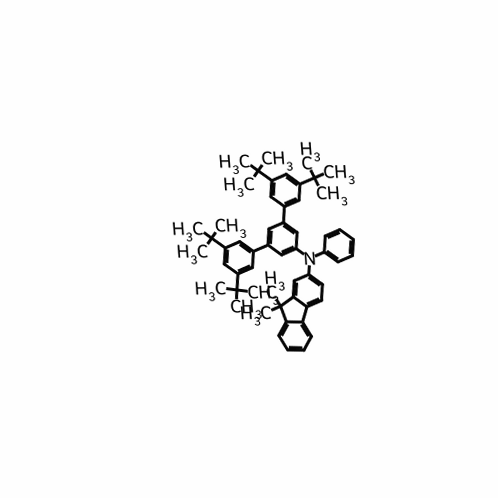 CC(C)(C)c1cc(-c2cc(-c3cc(C(C)(C)C)cc(C(C)(C)C)c3)cc(N(c3ccccc3)c3ccc4c(c3)C(C)(C)c3ccccc3-4)c2)cc(C(C)(C)C)c1